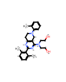 Cc1ccccc1N1CCc2nc(-c3c(C)cccc3C)nc(N(CCO)CCO)c2C1